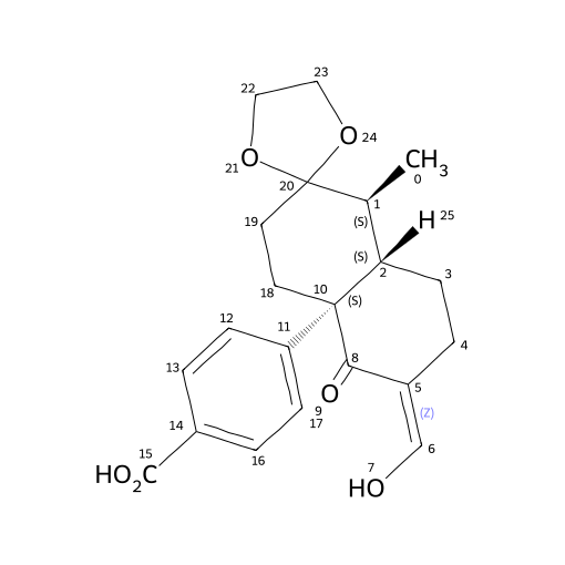 C[C@H]1[C@@H]2CC/C(=C/O)C(=O)[C@@]2(c2ccc(C(=O)O)cc2)CCC12OCCO2